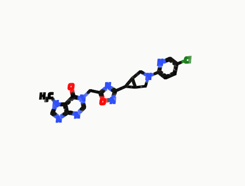 Cn1cnc2ncn(Cc3nc(C4C5CN(c6ccc(Cl)cn6)CC54)no3)c(=O)c21